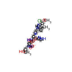 COc1cccc(CN2CCN(C3CC4(CCN(c5ccc(C(=O)NS(=O)(=O)c6ccc(NC[C@H]7CC[C@](C)(O)CC7)c([N+](=O)[O-])c6)c(Oc6cnc7[nH]ccc7c6)c5)CC4)C3)C(c3ccccc3C(C)C)C2)c1Cl